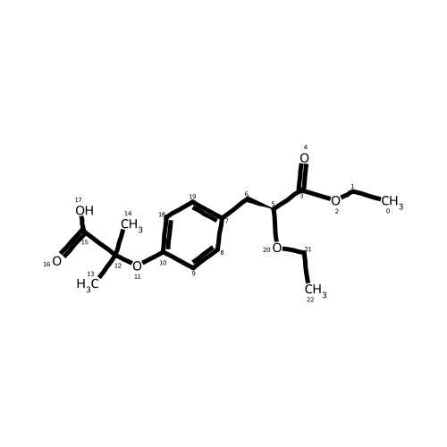 CCOC(=O)[C@H](Cc1ccc(OC(C)(C)C(=O)O)cc1)OCC